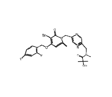 Cc1cc(OCc2ccc(F)cc2F)c(Br)c(=O)n1Cc1cnc(CN(C)C(=O)C(C)(C)O)cn1